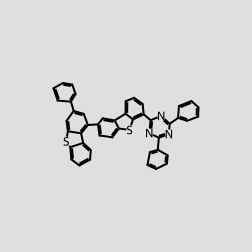 c1ccc(-c2cc(-c3ccc4sc5c(-c6nc(-c7ccccc7)nc(-c7ccccc7)n6)cccc5c4c3)c3c(c2)sc2ccccc23)cc1